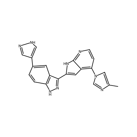 Cc1cn(-c2ccnc3[nH]c(-c4n[nH]c5ccc(-c6cn[nH]c6)cc45)cc23)cn1